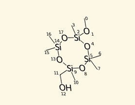 CO[Si]1(C)O[Si](C)(C)O[Si](C)(CO)O[Si](C)(C)O1